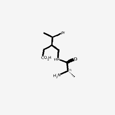 CC(C)C(C)C(CNC(=O)[C@H](C)N)CC(=O)O